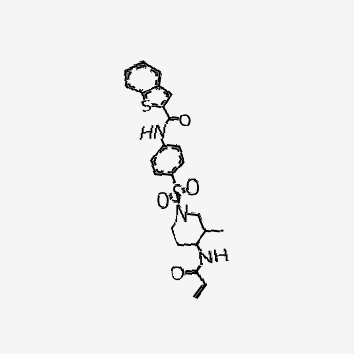 C=CC(=O)NC1CCN(S(=O)(=O)c2ccc(NC(=O)c3cc4ccccc4s3)cc2)CC1C